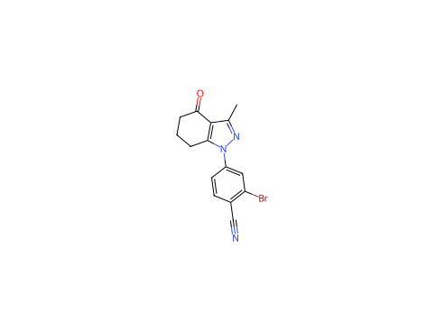 Cc1nn(-c2ccc(C#N)c(Br)c2)c2c1C(=O)CCC2